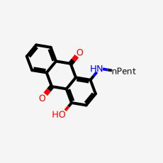 CCCCCNc1ccc(O)c2c1C(=O)c1ccccc1C2=O